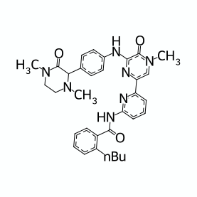 CCCCc1ccccc1C(=O)Nc1cccc(-c2cn(C)c(=O)c(Nc3ccc(C4C(=O)N(C)CCN4C)cc3)n2)n1